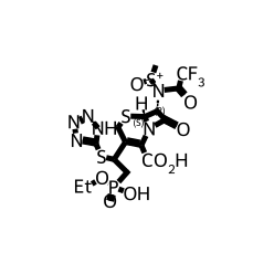 CCOP(=O)(O)CC(Sc1nnn[nH]1)C1=C(C(=O)O)N2C(=O)[C@@H](N(C(=O)C(F)(F)F)[S+](C)[O-])[C@@H]2SC1